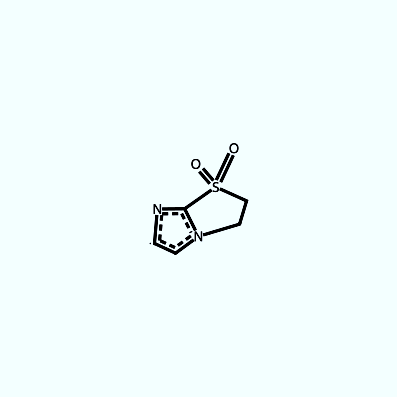 O=S1(=O)CCn2c[c]nc21